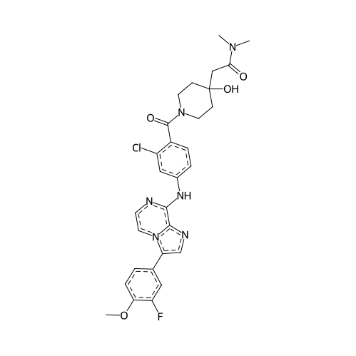 COc1ccc(-c2cnc3c(Nc4ccc(C(=O)N5CCC(O)(CC(=O)N(C)C)CC5)c(Cl)c4)nccn23)cc1F